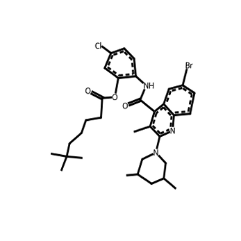 Cc1c(N2CC(C)CC(C)C2)nc2ccc(Br)cc2c1C(=O)Nc1ccc(Cl)cc1OC(=O)CCCCC(C)(C)C